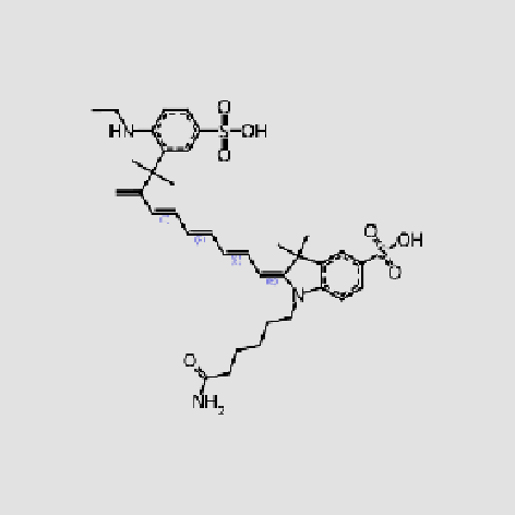 C=C(/C=C/C=C/C=C/C=C1/N(CCCCCC(N)=O)c2ccc(S(=O)(=O)O)cc2C1(C)C)C(C)(C)c1cc(S(=O)(=O)O)ccc1NCC